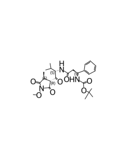 CON1C(=O)[C@@H](C(=O)[C@@H](NC(=O)C[C@H](NC(=O)OC(C)(C)C)c2ccccc2)C(C)C)[C@H](C)C1=O